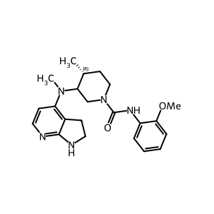 COc1ccccc1NC(=O)N1CC[C@@H](C)C(N(C)c2ccnc3c2CCN3)C1